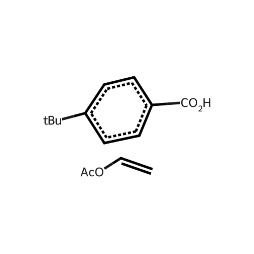 C=COC(C)=O.CC(C)(C)c1ccc(C(=O)O)cc1